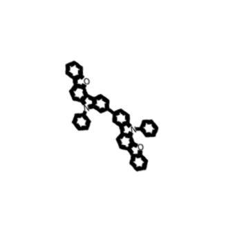 c1ccc(-n2c3cc(-c4ccc5c(c4)c4ccc6c7ccccc7oc6c4n5-c4ccccc4)ccc3c3c4oc5ccccc5c4ccc32)cc1